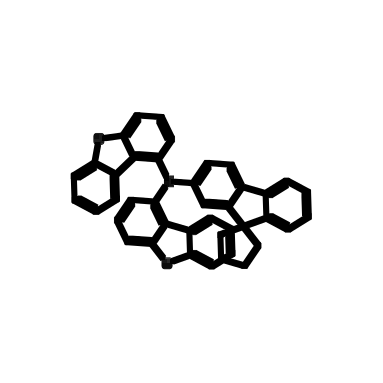 c1ccc2c(c1)-c1ccc(N(c3cccc4oc5ccccc5c34)c3cccc4oc5ccccc5c34)cc1C21CCCC1